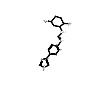 CC1CCC(C(C)C)C(N/C=N/c2ccc(-c3c[nH]cn3)cc2)C1